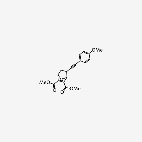 COC(=O)C1=C(C(=O)OC)C2OC1CC2C#Cc1ccc(OC)cc1